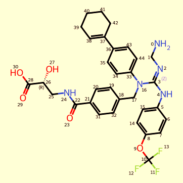 NC/N=C(/Nc1ccc(OC(F)(F)F)cc1)N(Cc1ccc(C(=O)NC[C@@H](O)C(=O)O)cc1)c1ccc(C2=CCCCC2)cc1